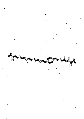 CC(C)NCCOCCOCCOCCOCCN1CCN(CCOCC(F)CNC(=O)C(C)C)CC1